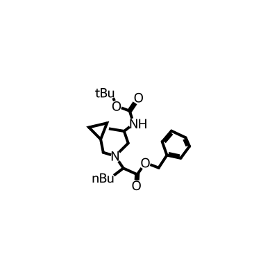 CCCCC(C(=O)OCc1ccccc1)N(CC1CC1)CC(C)NC(=O)OC(C)(C)C